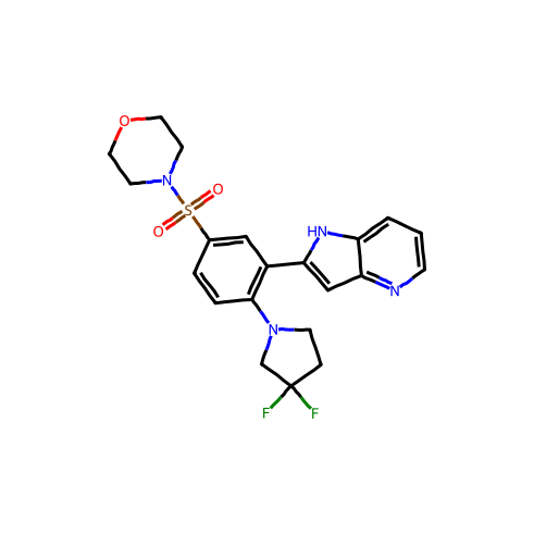 O=S(=O)(c1ccc(N2CCC(F)(F)C2)c(-c2cc3ncccc3[nH]2)c1)N1CCOCC1